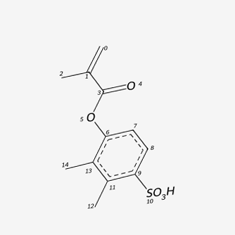 C=C(C)C(=O)Oc1ccc(S(=O)(=O)O)c(C)c1C